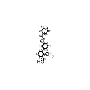 Cc1c(CO)cccc1-c1cccc(OCCN2CCOCC2)c1